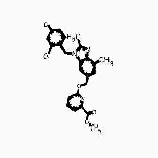 COC(=O)c1cccc(OCc2cc(C)c3nc(C)n(Cc4ccc(Cl)cc4Cl)c3c2)n1